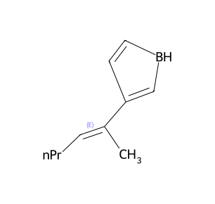 CCC/C=C(\C)C1=CBC=C1